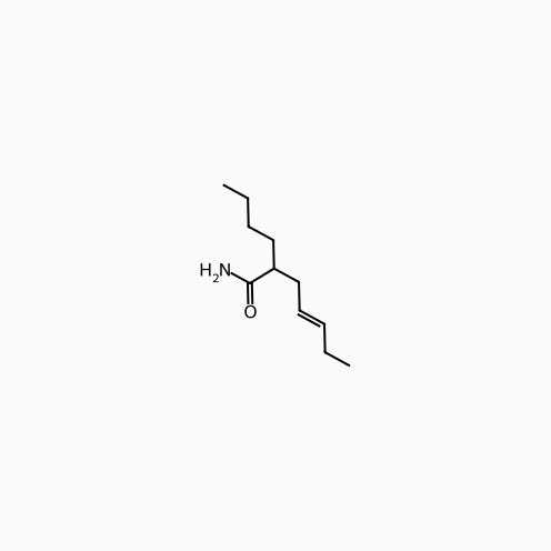 CCC=CCC(CCCC)C(N)=O